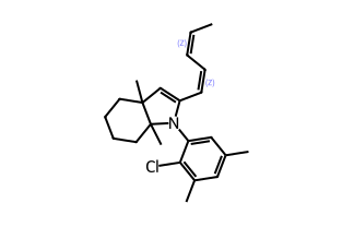 C/C=C\C=C/C1=CC2(C)CCCCC2(C)N1c1cc(C)cc(C)c1Cl